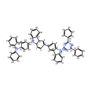 C1=CC2C(C=C1c1ccc3c(c1)c1ccccc1n3-c1nc(-c3ccccc3)nc(-c3ccccc3)n1)c1ccccc1N2c1ccc2c(c1)c1ccccc1n2-c1ccccc1